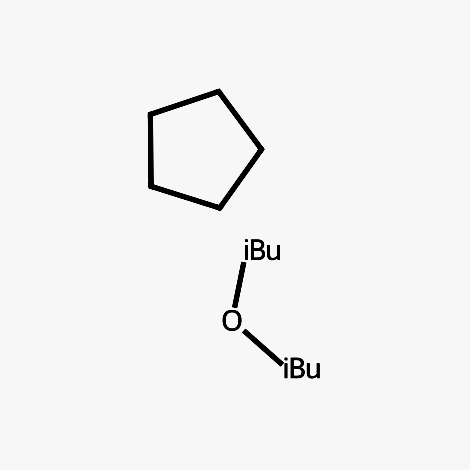 C1CCCC1.CCC(C)OC(C)CC